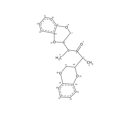 CC(C(=O)C(C)C1COc2ccccc2O1)C1COc2ccccc2O1